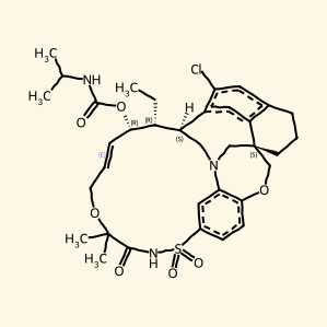 CC[C@H]1[C@@H](OC(=O)NC(C)C)/C=C/COC(C)(C)C(=O)NS(=O)(=O)c2ccc3c(c2)N2C[C@@H]1c1cc4c(cc1Cl)CCC[C@@]4(CO3)C2